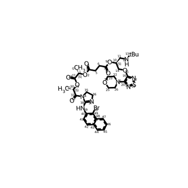 C[C@H](OC(=O)CCC(=O)O[C@@H](CNC(C)(C)C)COc1nsnc1N1CCOCC1)C(=O)O[C@@H](C)C(=O)N1CCN=C1Nc1ccc2ccccc2c1Br